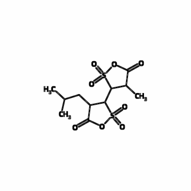 CC(C)CC1C(=O)OS(=O)(=O)C1C1C(C)C(=O)OS1(=O)=O